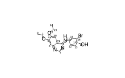 CCOc1cc2ncnc(Nc3ccc(O)c(Br)c3)c2cc1OCC